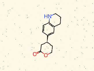 O=C1C[C@@H](c2ccc3c(c2)CCCN3)CCO1